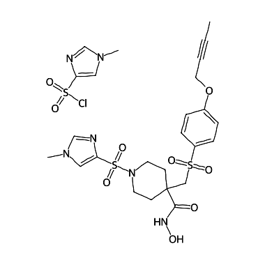 CC#CCOc1ccc(S(=O)(=O)CC2(C(=O)NO)CCN(S(=O)(=O)c3cn(C)cn3)CC2)cc1.Cn1cnc(S(=O)(=O)Cl)c1